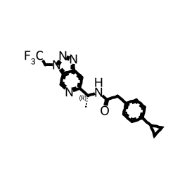 C[C@@H](NC(=O)Cc1ccc(C2CC2)cc1)c1cc2nnn(CC(F)(F)F)c2cn1